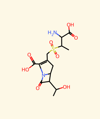 CC(O)C1C(=O)N2C(C(=O)O)=C(CS(=O)(=O)C(C)C(N)C(=O)O)CC12